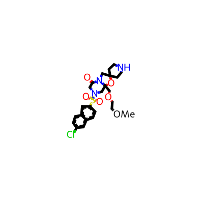 COCCOCC12CN(S(=O)(=O)c3ccc4cc(Cl)ccc4c3)CC(=O)N1CC1(CCNCC1)O2